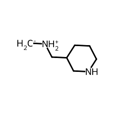 [CH2-][NH2+]CC1CCCNC1